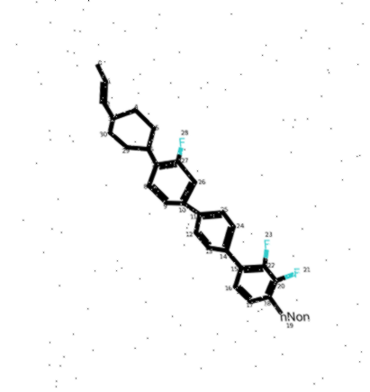 C/C=C/C1CCC(c2ccc(-c3ccc(-c4ccc(CCCCCCCCC)c(F)c4F)cc3)cc2F)CC1